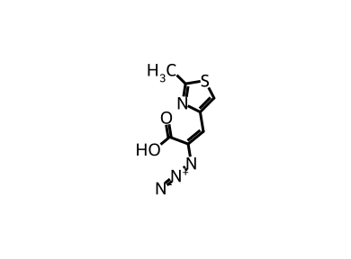 Cc1nc(/C=C(/N=[N+]=[N-])C(=O)O)cs1